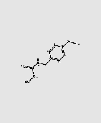 CC(C)(C)OC(=O)NCc1ccc(CI)cc1